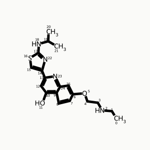 CCNCCOc1ccc2c(O)cc(-c3csc(NC(C)C)n3)nc2c1